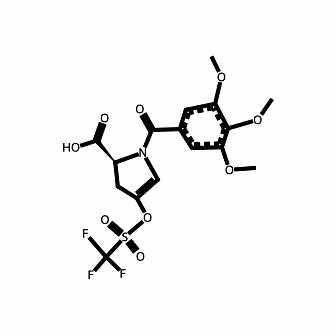 COc1cc(C(=O)N2C=C(OS(=O)(=O)C(F)(F)F)C[C@H]2C(=O)O)cc(OC)c1OC